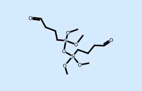 CO[Si](CCCC=O)(OC)O[Si](CCCC=O)(OC)OC